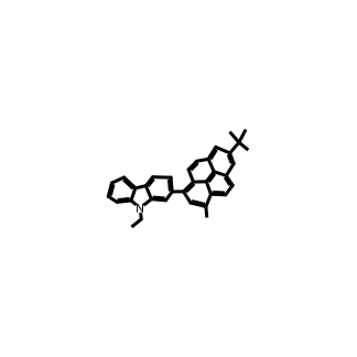 CCn1c2ccccc2c2ccc(-c3cc(C)c4ccc5cc(C(C)(C)C)cc6ccc3c4c56)cc21